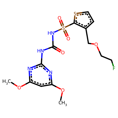 COc1cc(OC)nc(NC(=O)NS(=O)(=O)c2sccc2COCCF)n1